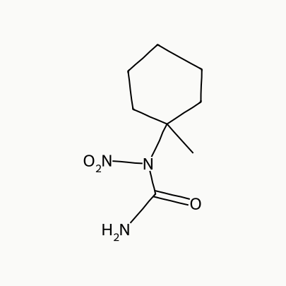 CC1(N(C(N)=O)[N+](=O)[O-])CCCCC1